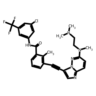 Cc1c(C#Cc2cnc3ccc(N(C)CCN(C)C)nn23)cccc1C(=O)Nc1cc(Cl)cc(C(F)(F)F)c1